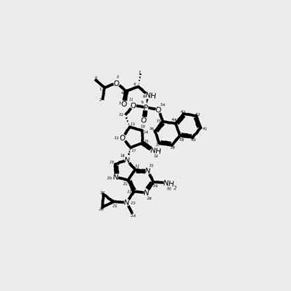 CC(C)OC(=O)[C@H](C)N[P@](=O)(OC[C@@H]1CC(=N)[C@H](n2cnc3c(N(C)C4CC4)nc(N)nc32)O1)Oc1cccc2ccccc12